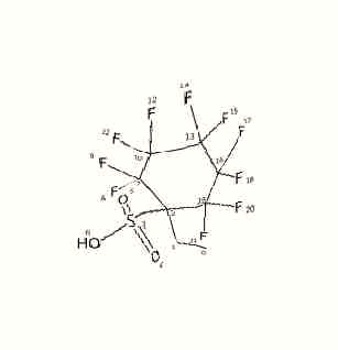 CCC1(S(=O)(=O)O)C(F)(F)C(F)(F)C(F)(F)C(F)(F)C1(F)F